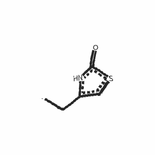 [CH2]Cc1csc(=O)[nH]1